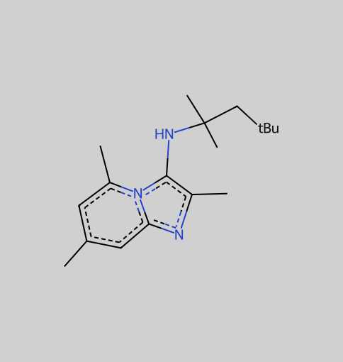 Cc1cc(C)n2c(NC(C)(C)CC(C)(C)C)c(C)nc2c1